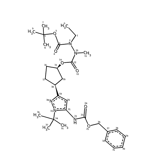 CCN(C(=O)OC(C)(C)C)N(C)C(=O)O[C@@H]1CC[C@H](c2cc(NC(=O)OCc3ccccc3)n(C(C)(C)C)n2)C1